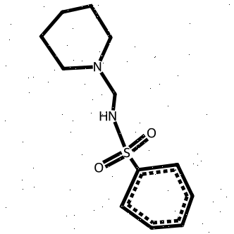 O=S(=O)(NCN1CCCCC1)c1ccccc1